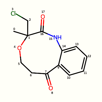 CC1(CCl)OCCC(=O)c2ccccc2NC1=O